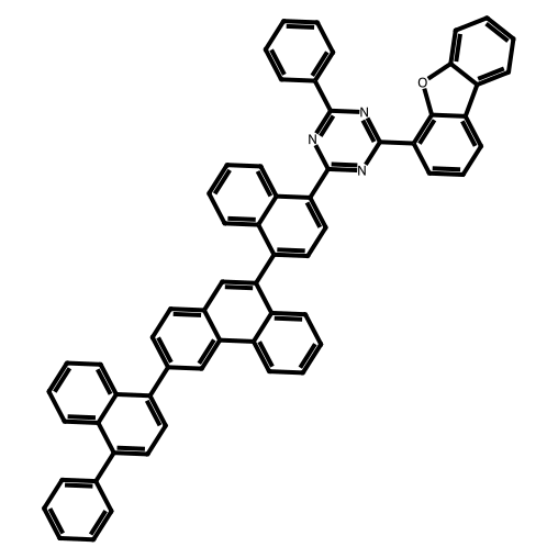 c1ccc(-c2nc(-c3ccc(-c4cc5ccc(-c6ccc(-c7ccccc7)c7ccccc67)cc5c5ccccc45)c4ccccc34)nc(-c3cccc4c3oc3ccccc34)n2)cc1